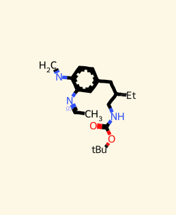 C=Nc1ccc(CC(CC)CNC(=O)OC(C)(C)C)cc1/N=C\C